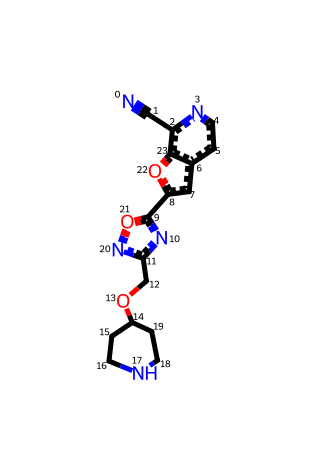 N#Cc1nccc2cc(-c3nc(COC4CCNCC4)no3)oc12